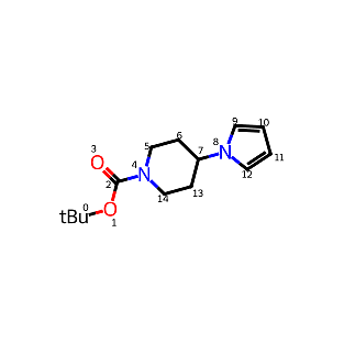 CC(C)(C)OC(=O)N1CCC(n2cccc2)CC1